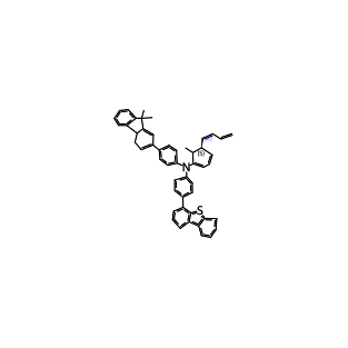 C=C/C=C\[C@H]1C=CC=C(N(c2ccc(C3=CCC4C(=C3)C(C)(C)c3ccccc34)cc2)c2ccc(-c3cccc4c3sc3ccccc34)cc2)C1C